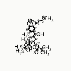 COCCCOc1cc(C(O)[C@@H](C[C@H](NC(=O)OC(C)(C)C)[C@@H]2C[C@@H](C(C)C)C(=O)O2)C(C)C)ccc1OC